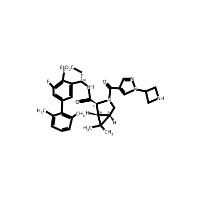 CCOC(=O)C[C@H](NC(=O)[C@@H]1[C@@H]2[C@H](CN1C(=O)c1cnn(C3CNC3)c1)C2(C)C)c1cc(-c2c(C)cccc2C)cc(F)c1F